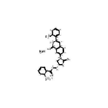 O=C(O)c1ccccc1C(=O)OC[C@@H]1CN(c2ccc3cc(-c4ccccc4C(F)(F)F)[nH]c(=O)c3c2)C(=O)O1.[NaH]